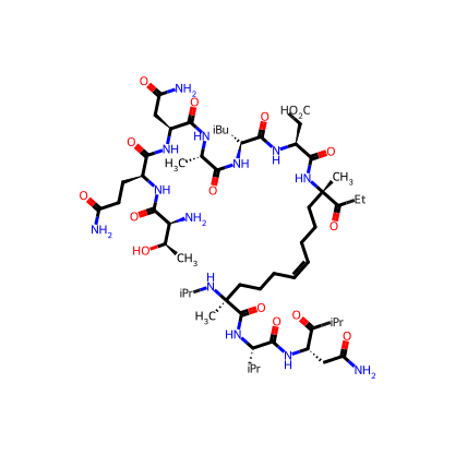 CCC(=O)[C@](C)(CCC/C=C\CCC[C@](C)(NC(C)C)C(=O)N[C@H](C(=O)N[C@@H](CC(N)=O)C(=O)C(C)C)C(C)C)NC(=O)[C@H](CC(=O)O)NC(=O)[C@@H](NC(=O)[C@H](C)NC(=O)[C@H](CC(N)=O)NC(=O)[C@H](CCC(N)=O)NC(=O)[C@@H](N)[C@@H](C)O)[C@@H](C)CC